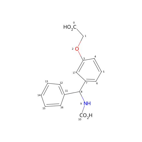 O=C(O)COc1cccc(C(NC(=O)O)c2ccccc2)c1